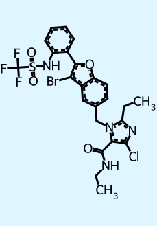 CCNC(=O)c1c(Cl)nc(CC)n1Cc1ccc2oc(-c3ccccc3NS(=O)(=O)C(F)(F)F)c(Br)c2c1